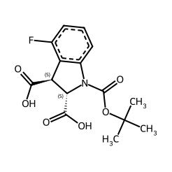 CC(C)(C)OC(=O)N1c2cccc(F)c2[C@H](C(=O)O)[C@H]1C(=O)O